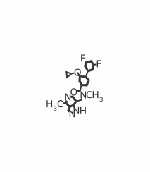 Cc1ncc(CN(C)C(=O)c2ccc(-c3cc(F)cc(F)c3)c(OC3CC3)c2)c2[nH]ncc12